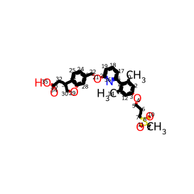 Cc1cc(OCCCS(C)(=O)=O)cc(C)c1-c1cccc(OCc2ccc3c(c2)OCC3CC(=O)O)n1